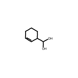 OC(O)C1C=CCCC1